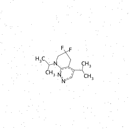 CC(C)c1cnnc2c1CC(F)(F)CN2C(C)C